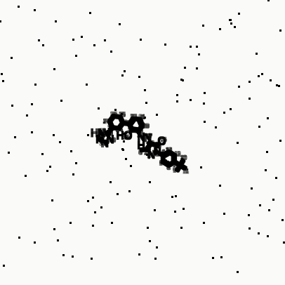 CC1=NN(c2ccc(C(C)(C)C)cc2)C(=O)/C1=N/Nc1cccc(C2CCCC(c3nnn[nH]3)C2)c1O